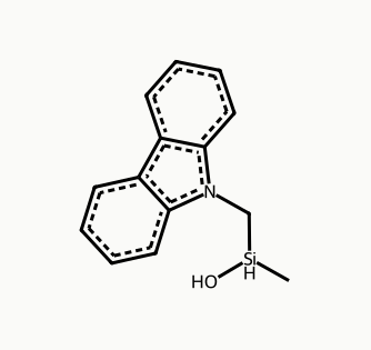 C[SiH](O)Cn1c2ccccc2c2ccccc21